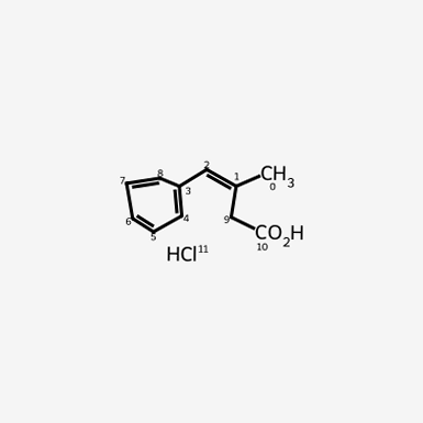 CC(=Cc1ccccc1)CC(=O)O.Cl